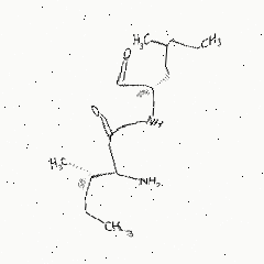 CC[C@H](C)C(N)C(=O)N[C@H](C=O)CC(C)C